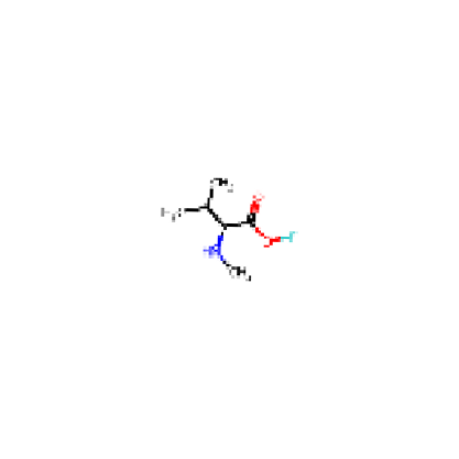 CN[C@H](C(=O)OF)C(C)C